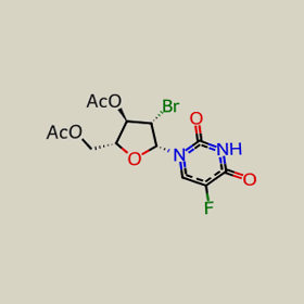 CC(=O)OC[C@H]1O[C@@H](n2cc(F)c(=O)[nH]c2=O)[C@@H](Br)[C@@H]1OC(C)=O